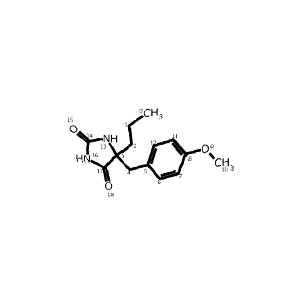 CCCC1(Cc2ccc(OC)cc2)NC(=O)NC1=O